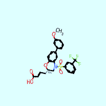 COc1cccc(-c2ccc3c(c2)N(S(=O)(=O)c2cccc(C(F)(F)F)c2)C[C@H](CCCC(=O)O)O3)c1